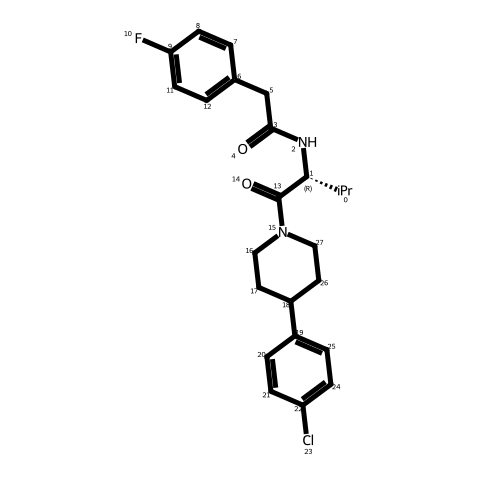 CC(C)[C@@H](NC(=O)Cc1ccc(F)cc1)C(=O)N1CCC(c2ccc(Cl)cc2)CC1